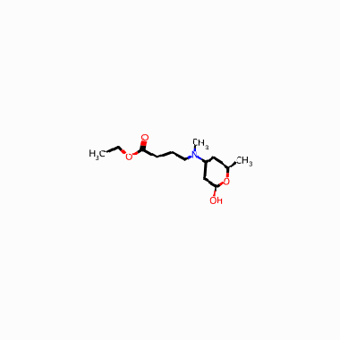 CCOC(=O)CCCN(C)C1C[C@@H](C)O[C@@H](O)C1